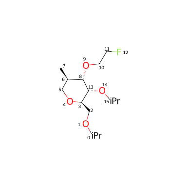 CC(C)OC[C@H]1OC[C@@H](C)[C@H](OCCF)[C@@H]1OC(C)C